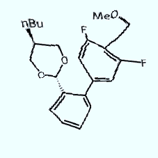 CCCC[C@H]1CO[C@H](c2ccccc2-c2cc(F)c(COC)c(F)c2)OC1